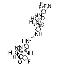 Cn1ncnc1[C@H]1c2n[nH]c(=O)c3cc(F)cc(c23)N[C@@H]1c1ccc(NCCCCNc2ccc(S(=O)(=O)CC(C)(O)C(=O)Nc3ccc(C#N)c(C(F)(F)F)c3)cc2)cc1